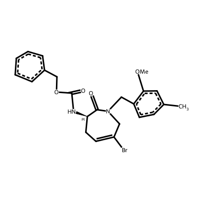 COc1cc(C)ccc1CN1CC(Br)=CC[C@@H](NC(=O)OCc2ccccc2)C1=O